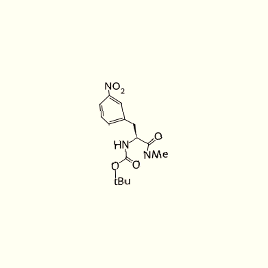 CNC(=O)[C@H](Cc1cccc([N+](=O)[O-])c1)NC(=O)OC(C)(C)C